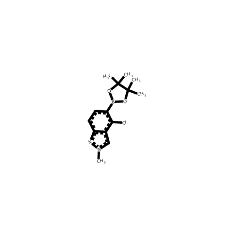 Cn1cc2c(Cl)c(B3OC(C)(C)C(C)(C)O3)ccc2n1